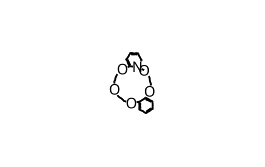 C1=CCN2OCCOc3ccccc3OCCOCCOC2=C1